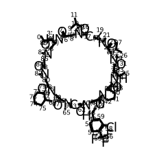 CC[C@H](C)[C@@H]1NC(=O)[C@H](CC(C)C)N(C)C(=O)C[C@@H](C)N(C)C(=O)[C@H](C(C)C)N(C)C(=O)[C@](C)(CC)NC(=O)[C@@H]2CCCN2C(=O)[C@H](CCc2ccc(C(F)(F)F)c(Cl)c2)NC(=O)CN(C)C(=O)[C@H](CC2CCCCC2)N(C)C(=O)CN(C)C(=O)CN(C)C1=O